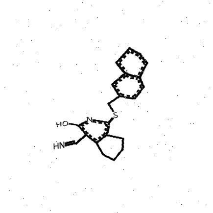 N=Cc1c(O)nc(SCc2ccc3ccccc3c2)c2c1CCCC2